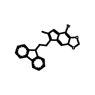 CC1=C(CCC2c3ccccc3-c3ccccc32)C2=CC3OCOC3=C(Br)C2=C1